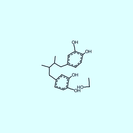 CC(Cc1ccc(O)c(O)c1)C(C)Cc1ccc(O)c(O)c1.CCO